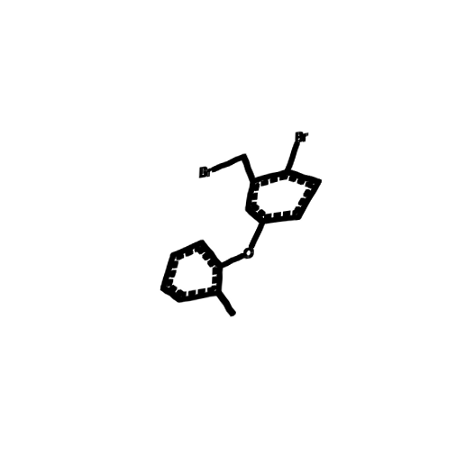 Cc1ccccc1Oc1ccc(Br)c(CBr)c1